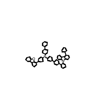 c1ccc(-c2ccc(N(c3ccc(-c4ccc(-c5ccccc5-n5c6ccccc6c6c(-c7ccccc7)cccc65)cc4)cc3)c3ccc(-c4cccc5c4oc4ccccc45)cc3)cc2)cc1